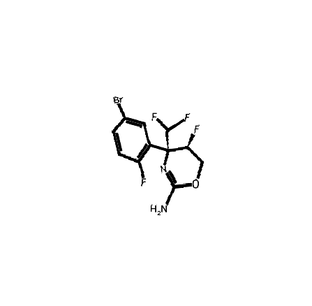 NC1=N[C@@](c2cc(Br)ccc2F)(C(F)F)[C@@H](F)CO1